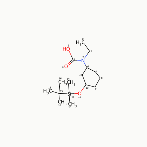 CCN(C(=O)O)C1CCCC(O[Si](C)(C)C(C)(C)C)C1